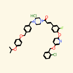 CC(C)Oc1ccc(OCc2ccc(CN3CCN(C(=O)C=Cc4ccc(Oc5ccc(OCc6ccccc6Cl)cn5)c(F)c4)CC3)cc2)cc1.Cl